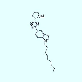 CCCCCCCCCn1ccc2cc(-c3noc([C@@H]4CCCN4)n3)ccc21